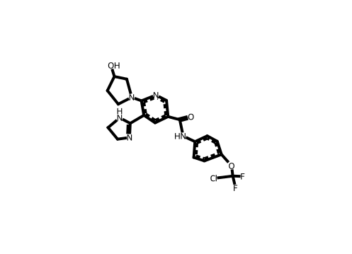 O=C(Nc1ccc(OC(F)(F)Cl)cc1)c1cnc(N2CCC(O)C2)c(C2=NCCN2)c1